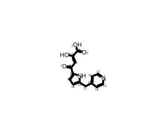 O=C(O)C(O)=CC(=O)c1ccc(Cc2ccncc2)[nH]1